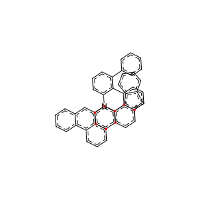 c1ccc(-c2ccccc2-c2c(-c3ccccc3)cccc2N(c2cc3ccccc3c3ccccc23)c2cccc3sc4ccccc4c23)cc1